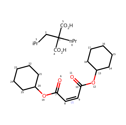 CCCC(CC(C)C)(C(=O)O)C(=O)O.O=C(/C=C\C(=O)OC1CCCCC1)OC1CCCCC1